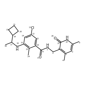 Cc1cc(C)c(CNC(=O)c2cc(Cl)cc(NC(C)C3CCC3)c2C)c(=O)[nH]1